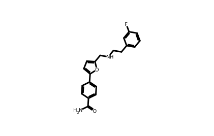 NC(=O)c1ccc(-c2ccc(CNCCc3cccc(F)c3)o2)cc1